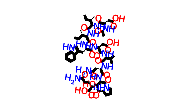 CC[C@H](C)[C@H](NC(=O)[C@H](CC(=O)O)NC(C)=O)C(=O)N[C@H](C(=O)N[C@@H](Cc1c[nH]c2ccccc12)C(=O)N[C@@H](CC(=O)O)C(=O)N[C@H](C(=O)N[C@@H](CC(N)=O)C(=O)N[C@H](C(=O)N1CCC[C@H]1C(=O)N[C@@H](CCC(N)=O)C(=O)O)[C@@H](C)O)C(C)C)[C@@H](C)CC